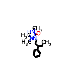 CCC(CCN(C(=O)NC)N(C)C)c1ccccc1